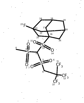 CS(=O)(=O)C(S(=O)(=O)CC(C(F)(F)F)(C(F)(F)F)C(F)(F)F)S(=O)(=O)C12CC3CC(CC(F)(C3)C1)C2